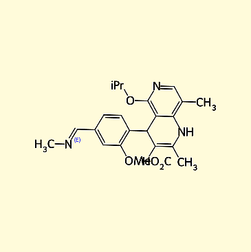 C/N=C/c1ccc(C2C(C(=O)O)=C(C)Nc3c(C)cnc(OC(C)C)c32)c(OC)c1